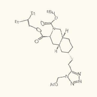 CCC(CC)COC(=O)[C@@H]1C[C@H]2C[C@@H](CCc3nnnn3COC(C)=O)CC[C@H]2CN1C(=O)OC(C)(C)C